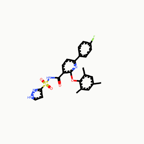 Cc1cc(C)c(Oc2nc(-c3ccc(F)cc3)ccc2C(=O)NS(=O)(=O)c2cc[nH]n2)c(C)c1